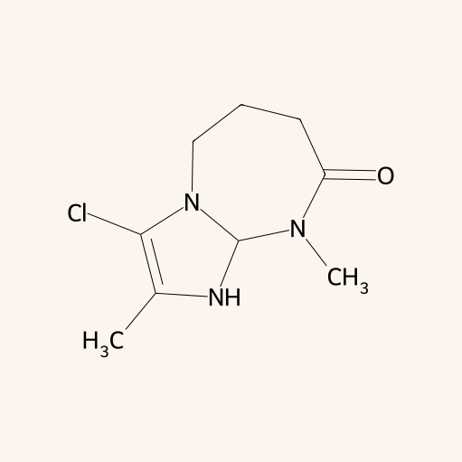 CC1=C(Cl)N2CCCC(=O)N(C)C2N1